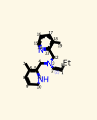 CC/C=C\N(CC1=C(C)C=CCN1)Cc1ncccc1C